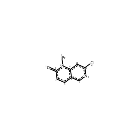 CC(C)n1c(=O)ccc2cnc(Cl)cc21